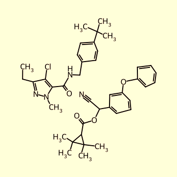 CC1(C)C(C(=O)OC(C#N)c2cccc(Oc3ccccc3)c2)C1(C)C.CCc1nn(C)c(C(=O)NCc2ccc(C(C)(C)C)cc2)c1Cl